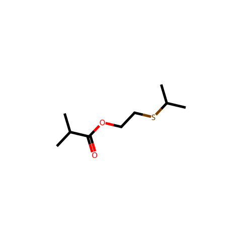 CC(C)SCCOC(=O)C(C)C